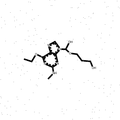 CCOc1nc(NC)nc2c1ncn2C(O)OCCCO